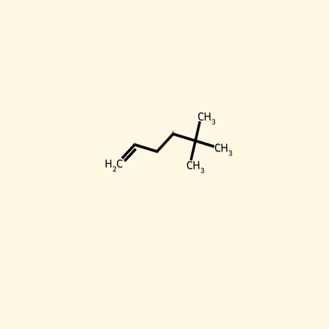 C=CC[CH]C(C)(C)C